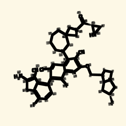 N#Cc1c(OCC2CCN3C[C@H](F)CC23)nc2c(F)c(-c3ccc(F)c4sc(N)c(C#N)c34)c(Cl)cc2c1N1CCCCC2(CN(C(=O)[C@@H]3CN3)C2)C1